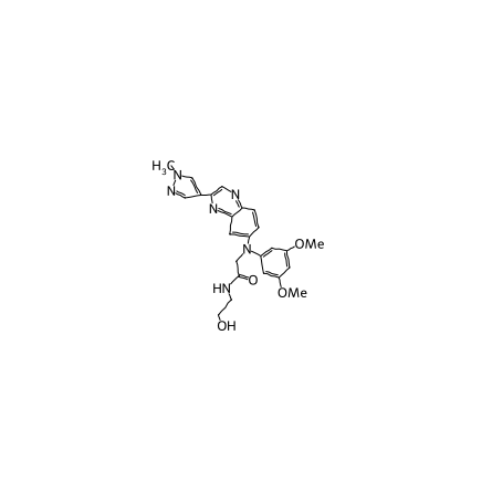 COc1cc(OC)cc(N(CC(=O)NCCO)c2ccc3ncc(-c4cnn(C)c4)nc3c2)c1